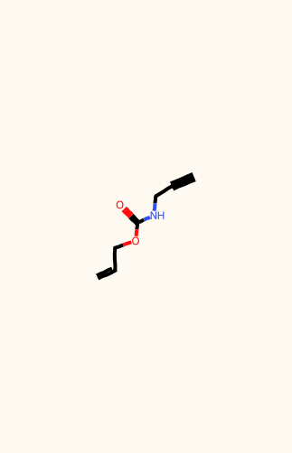 C#CCNC(=O)OCC=C